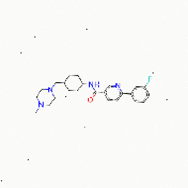 CN1CCN(CC2CCC(NC(=O)c3ccc(-c4cccc(F)c4)nc3)CC2)CC1